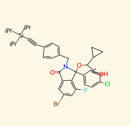 CC(C)[Si](C#Cc1ccc(CN2C(=O)c3cc(Br)cc(F)c3C2(OC(CO)C2CC2)c2ccc(Cl)cc2)cc1)(C(C)C)C(C)C